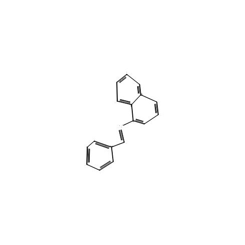 C(=N\c1cccc2ccccc12)/c1ccccc1